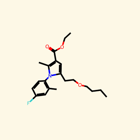 CCCCOCCc1cc(C(=O)OCC)c(C)n1-c1ccc(F)cc1C